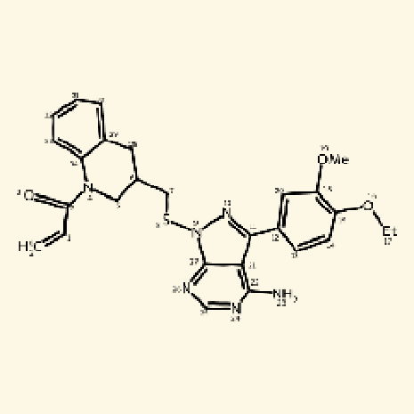 C=CC(=O)N1CC(CSn2nc(-c3ccc(OCC)c(OC)c3)c3c(N)ncnc32)Cc2ccccc21